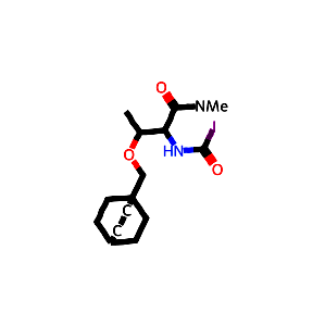 CNC(=O)C(NC(=O)I)C(C)OCC12CCC(CC1)CC2